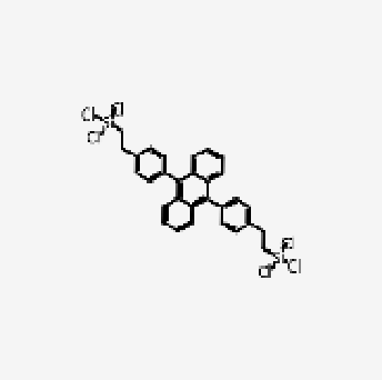 Cl[Si](Cl)(Cl)CCc1ccc(-c2c3ccccc3c(-c3ccc(CC[Si](Cl)(Cl)Cl)cc3)c3ccccc23)cc1